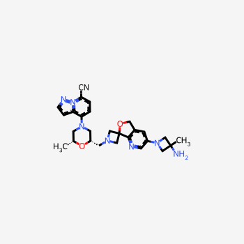 C[C@@H]1CN(c2ccc(C#N)n3nccc23)C[C@H](CN2CC3(C2)OCc2cc(N4CC(C)(N)C4)cnc23)O1